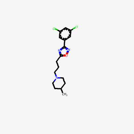 CC1CCN(CCCc2nc(-c3cc(Cl)cc(Cl)c3)no2)CC1